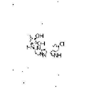 [CH2][C@@H]1C[C@@H](Nc2ccn3nc(-c4c[nH]c5cc(Cl)ccc45)cc3n2)[C@H](O)[C@@H]1O